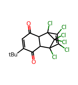 CC(C)(C)C1=CC(=O)C2C(C1=O)C1(Cl)C(Cl)=C(Cl)C2(Cl)C1(Cl)Cl